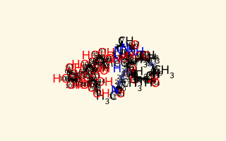 CC(CN1CC(=O)NC(=O)C1)N1CC(=O)NC(=O)C1.CO[C@@H](/C(C)=C/C=C/C(C)=C/c1coc(C)n1)[C@@H](C)[C@@H]1C[C@H](O)[C@]2(C)O[C@@H]2/C=C/[C@@H](C)[C@H]2C[C@H](CC(=O)O2)C[C@@H]2O[C@H]2C(=O)O1.OC[C@H]1O[C@@H](OC[C@H]2O[C@@H](O[C@@H]3[C@@H](O)[C@H](O)O[C@H](CO)[C@H]3O)[C@H](O)[C@@H](O[C@@H]3O[C@H](CO)[C@@H](O)[C@H](O)[C@H]3O)[C@@H]2O)[C@H](O)[C@@H](O)[C@@H]1O